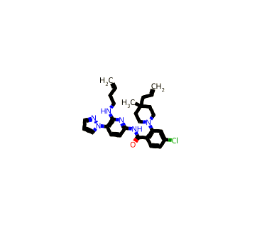 C=CCCNc1nc(NC(=O)c2ccc(Cl)cc2N2CCC(C)(CC=C)CC2)ccc1-n1cccn1